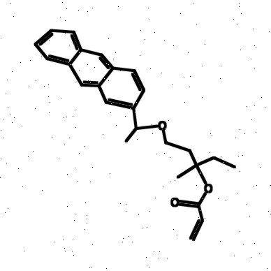 C=CC(=O)OC(C)(CC)CCOC(C)c1ccc2cc3ccccc3cc2c1